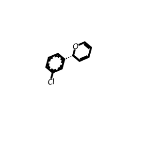 Clc1cccc([C@H]2C=CC=CO2)c1